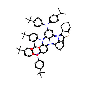 CC(C)c1ccc(N(c2ccc(C(C)(C)C)cc2)c2cc3c4c(c2)n2c5c(c6cccc(c62)n-4c2ccc(N(c4ccc(C(C)(C)C)cc4)c4ccc(C(C)(C)C)cc4)cc2n3-c2ccc(C(C)(C)C)cc2-c2ccccc2)SC2=CCCCC25)cc1